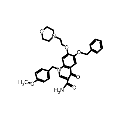 COc1ccc(Cn2cc(C(N)=O)c(=O)c3cc(OCc4ccccc4)c(OCCN4CCOCC4)cc32)cc1